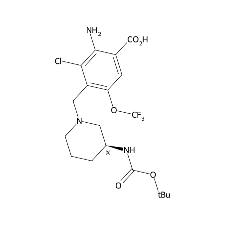 CC(C)(C)OC(=O)N[C@H]1CCCN(Cc2c(OC(F)(F)F)cc(C(=O)O)c(N)c2Cl)C1